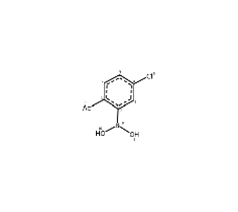 CC(=O)c1ccc(Cl)cc1B(O)O